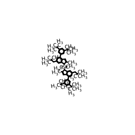 CC1=Cc2c(-c3cc(C(C)(C)C)cc(C(C)(C)C)c3)cc(CC(C)(C)C)cc2C1[Si](C)(C)C1C(C)=Cc2c(-c3cc(C(C)(C)C)cc(C(C)(C)C)c3)cc(CC(C)(C)C)cc21